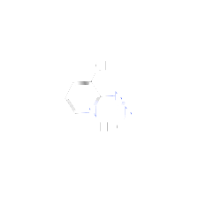 C/N=N\c1ncccc1C